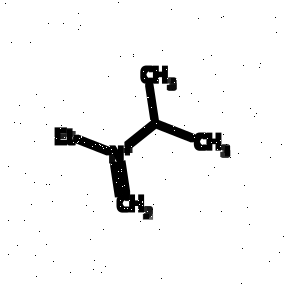 C=[N+](CC)C(C)C